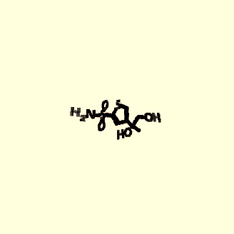 CC(O)(CO)c1csc(S(N)(=O)=O)c1